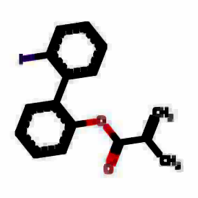 C=C(C)C(=O)Oc1ccccc1-c1ccccc1I